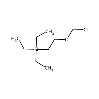 CC[Si](CC)(CC)CCOCCl